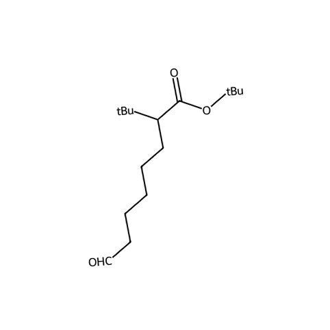 CC(C)(C)OC(=O)C(CCCCCC=O)C(C)(C)C